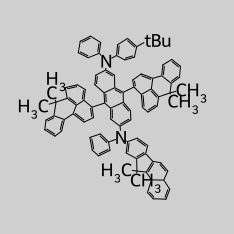 CC(C)(C)c1ccc(N(c2ccccc2)c2ccc3c(-c4ccc5c6c(cccc46)C(C)(C)c4ccccc4-5)c4cc(N(c5ccccc5)c5ccc6c(c5)C(C)(C)C5=C6C=CC6C=CC=CC56)ccc4c(-c4ccc5c6c(cccc46)C(C)(C)c4ccccc4-5)c3c2)cc1